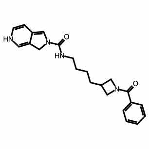 O=C(NCCCCC1CN(C(=O)c2ccccc2)C1)N1C=C2C=CNC=C2C1